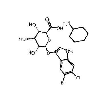 NC1CCCCC1.O=C(O)[C@H]1O[C@@H](Oc2c[nH]c3cc(Cl)c(Br)cc23)[C@H](O)[C@@H](O)[C@@H]1O